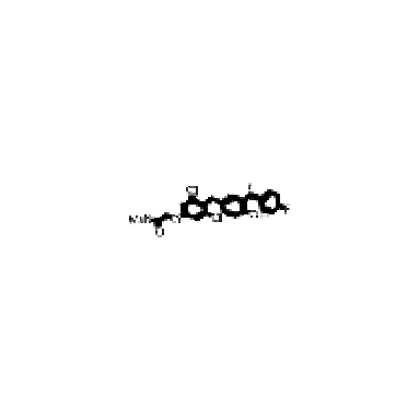 CNC(=O)COc1cc(Cl)c(Cc2ccc(O)c([C@H](C)c3ccc(F)cc3)c2)c(Cl)c1